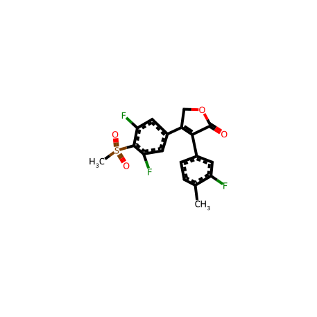 Cc1ccc(C2=C(c3cc(F)c(S(C)(=O)=O)c(F)c3)COC2=O)cc1F